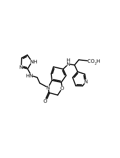 O=C(O)CC(Nc1ccc2c(c1)OCC(=O)N2CCNc1ncc[nH]1)c1cccnc1